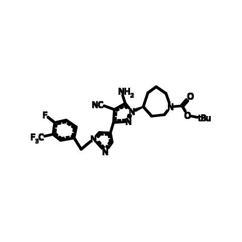 CC(C)(C)OC(=O)N1CCC[C@H](n2nc(-c3cnn(Cc4ccc(F)c(C(F)(F)F)c4)c3)c(C#N)c2N)CC1